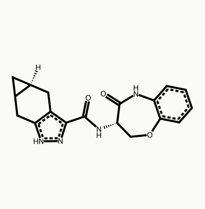 O=C(N[C@H]1COc2ccccc2NC1=O)c1n[nH]c2c1C[C@@H]1CC1C2